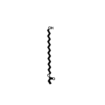 C=CC(=O)OCCCCCCCCCCCCCCCCO